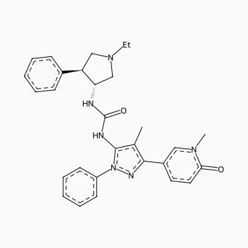 CCN1C[C@H](NC(=O)Nc2c(C)c(-c3ccc(=O)n(C)c3)nn2-c2ccccc2)[C@@H](c2ccccc2)C1